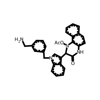 CC(=O)ON1c2c(ccc3ccccc23)NC(=O)C1c1cn(Cc2cccc(CN)c2)c2ccccc12